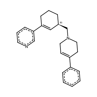 C1=C(c2cccnc2)CCC[C@H]1CN1CC=C(c2ccccc2)CC1